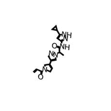 C=CC(=O)N1CC=C(c2cnn(C(C)C(=O)Nc3cc(C4CC4)[nH]n3)c2)C1